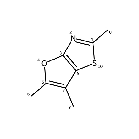 Cc1nc2oc(C)c(C)c2s1